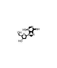 N=c1ncn(S)c2c1ncn2[C@H]1C[C@H](O)[C@@H](CO)O1